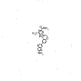 Cc1nc(C(N)=O)nc(N2CCOc3ccc(-c4cnc5sc(N)nc5c4)cc3C2)c1C(C)C